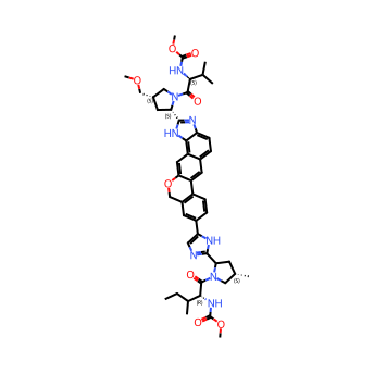 CCC(C)[C@@H](NC(=O)OC)C(=O)N1C[C@@H](C)CC1c1ncc(-c2ccc3c(c2)COc2cc4c(ccc5nc([C@@H]6C[C@H](COC)CN6C(=O)[C@@H](NC(=O)OC)C(C)C)[nH]c54)cc2-3)[nH]1